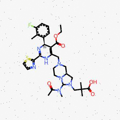 CCOC(=O)C1=C(CN2CCN3C(C2)CN(CC(C)(C)C(=O)O)C3N(C)C(C)=O)NC(c2nccs2)=N[C@H]1c1cccc(F)c1C